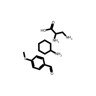 CSc1ccc(C=O)cc1.NC1CCCCC1.NCC(N)C(=O)O